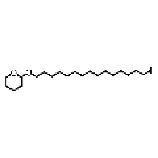 ICCCCCCCCCCCCCCCOC1CCCCO1